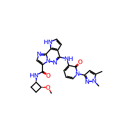 CO[C@H]1CC[C@H]1NC(=O)c1cnc2c3[nH]ccc3c(Nc3cccn(-c4cc(C)n(C)n4)c3=O)nn12